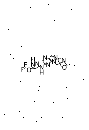 N#CC1(Cn2ncc3ncc(Nc4cc(OC(F)F)[nH]n4)nc32)CCOC1